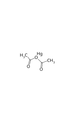 CC(=O)OC(C)=O.[Hg]